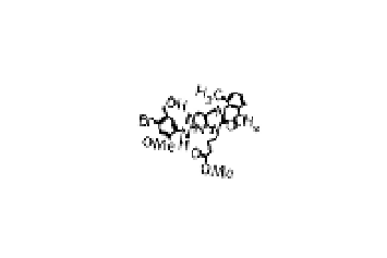 COC(=O)CCCN1C(=O)N(c2c(C)cccc2C)Cc2cnc(Nc3cc(CO)c(Br)cc3OC)nc21